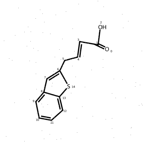 O=C(O)C=CCc1cc2ccccc2s1